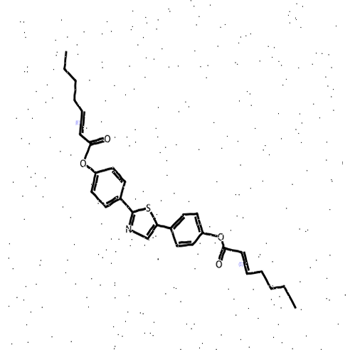 CCCC/C=C/C(=O)Oc1ccc(-c2cnc(-c3ccc(OC(=O)/C=C/CCCC)cc3)s2)cc1